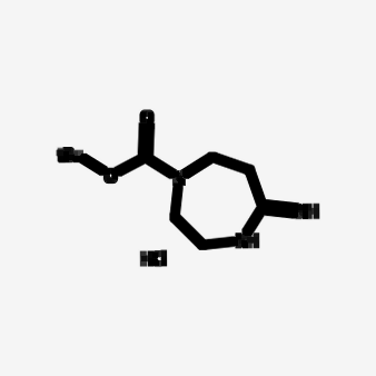 CC(C)(C)OC(=O)N1CCNC(=N)CC1.Cl